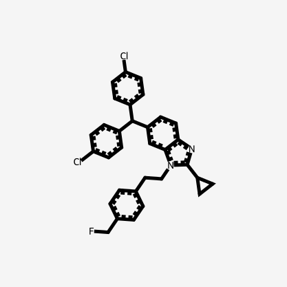 FCc1ccc(CCn2c(C3CC3)nc3ccc(C(c4ccc(Cl)cc4)c4ccc(Cl)cc4)cc32)cc1